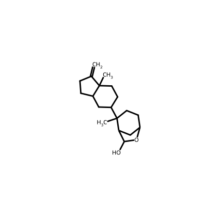 C=C1CCC2CC(C3(C)CCC4CC3C(O)O4)CCC12C